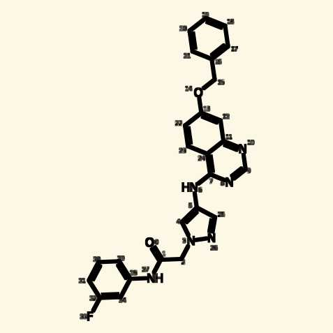 O=C(Cn1cc(Nc2ncnc3cc(OCc4ccccc4)ccc23)cn1)Nc1cccc(F)c1